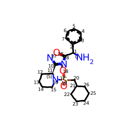 NC(c1ccccc1)c1nc([C@@H]2CCCCN2S(=O)(=O)CC2CCCCC2)no1